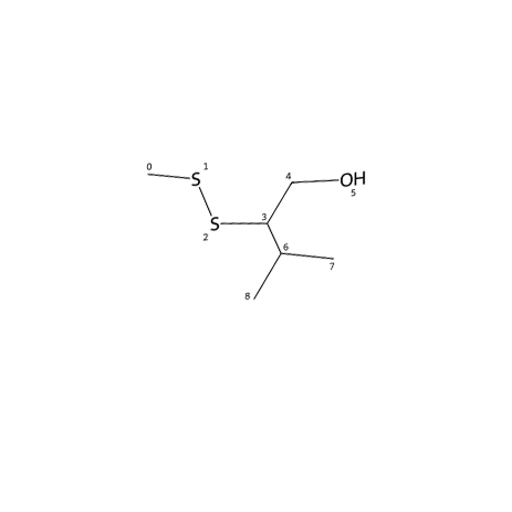 CSSC(CO)C(C)C